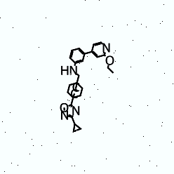 CCOc1cc(-c2cccc(NCC34CCC(c5nc(C6CC6)no5)(CC3)CC4)c2)ccn1